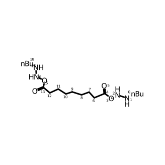 CCCCNNOC(=O)CCCCCCCC(=O)ONNCCCC